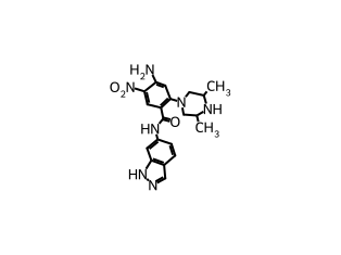 CC1CN(c2cc(N)c([N+](=O)[O-])cc2C(=O)Nc2ccc3cn[nH]c3c2)CC(C)N1